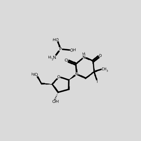 CC1(I)CN([C@H]2C[C@H](O)[C@@H](CO)O2)C(=O)NC1=O.NP(O)O